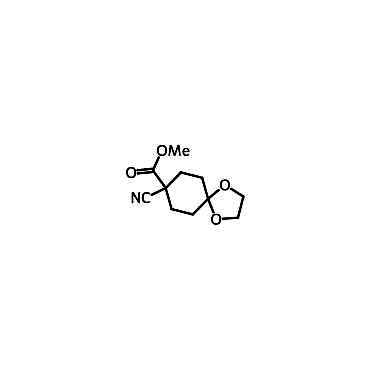 COC(=O)C1(C#N)CCC2(CC1)OCCO2